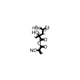 C=C(C#N)C(=O)OC(=O)C(C)(O)CC(CC)CCCC